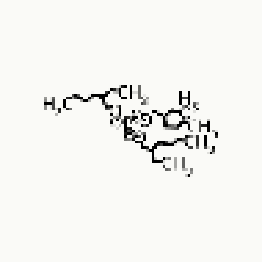 CCCCC(CC)COOP(OOCC(CC)CCCC)OOCC(CC)CCCC